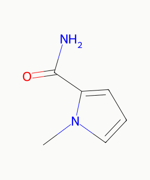 Cn1cccc1C(N)=O